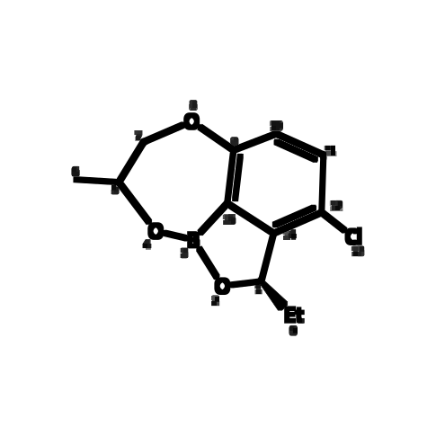 CC[C@H]1OB2OC(C)COc3ccc(Cl)c1c32